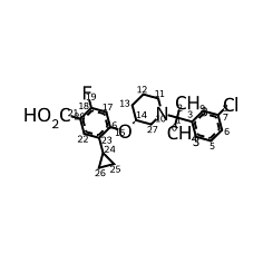 CC(C)(c1cccc(Cl)c1)N1CCC[C@@H](Oc2cc(F)c(C(=O)O)cc2C2CC2)C1